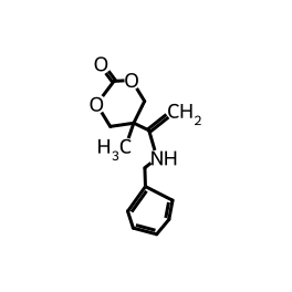 C=C(NCc1ccccc1)C1(C)COC(=O)OC1